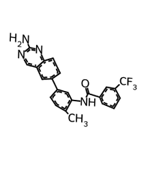 Cc1ccc(-c2ccc3nc(N)ncc3c2)cc1NC(=O)c1cccc(C(F)(F)F)c1